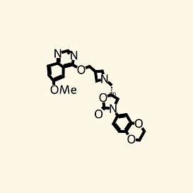 COc1ccc2ncnc(OCC3CN(C[C@@H]4CN(c5ccc6c(c5)OCCO6)C(=O)O4)C3)c2c1